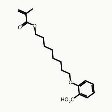 C=C(C)C(=O)OCCCCCCCCOc1ccccc1C(=O)O